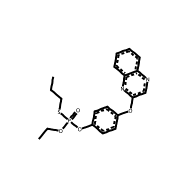 CCCSP(=O)(OCC)Oc1ccc(Oc2cnc3ccccc3n2)cc1